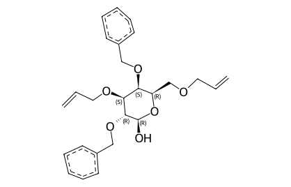 C=CCOC[C@H]1O[C@@H](O)[C@H](OCc2ccccc2)[C@@H](OCC=C)[C@H]1OCc1ccccc1